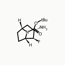 CC(C)(C)OC(=O)N1[C@@H]2CC[C@H]1[C@H](F)[C@@H](N)C2